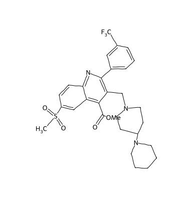 COC(=O)c1c(CN2CCC(N3CCCCC3)CC2)c(-c2cccc(C(F)(F)F)c2)nc2ccc(S(C)(=O)=O)cc12